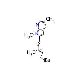 CCC(C)C/C=C(\C)C#Cc1cc2cc(C)cnc2n1C